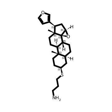 C[C@]12CC[C@H](SCCCN)C[C@@H]1CC[C@@H]1[C@@H]2CC[C@]2(C)[C@@H](c3ccoc3)C[C@H]3O[C@]132